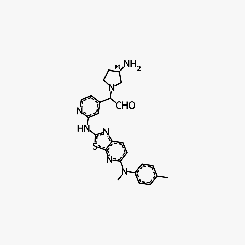 Cc1ccc(N(C)c2ccc3nc(Nc4cc(C(C=O)N5CC[C@@H](N)C5)ccn4)sc3n2)cc1